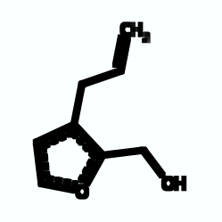 C=CCc1ccoc1CO